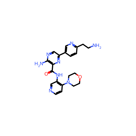 NCCc1ccc(-c2cnc(N)c(C(=O)Nc3cnccc3N3CCOCC3)n2)cn1